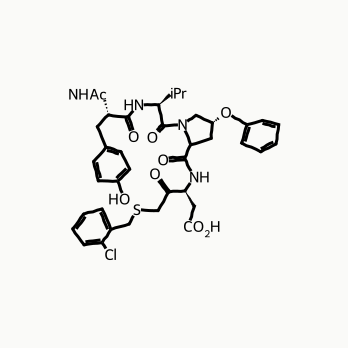 CC(=O)N[C@@H](Cc1ccc(O)cc1)C(=O)N[C@H](C(=O)N1C[C@H](Oc2ccccc2)CC1C(=O)N[C@@H](CC(=O)O)C(=O)CSCc1ccccc1Cl)C(C)C